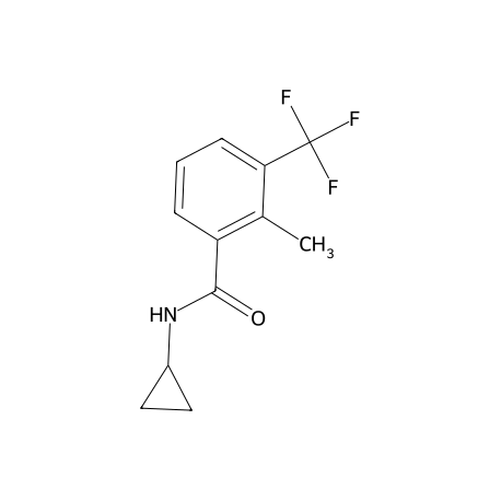 Cc1c(C(=O)NC2CC2)cccc1C(F)(F)F